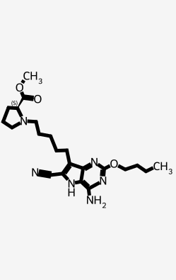 CCCCOc1nc(N)c2[nH]c(C#N)c(CCCCCN3CCC[C@H]3C(=O)OC)c2n1